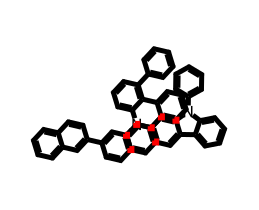 c1ccc(-c2ccccc2-c2c(-c3ccccc3)cccc2N(c2cccc(-c3ccc4ccccc4c3)c2)c2ccc3c4ccccc4n(-c4ccccc4)c3c2)cc1